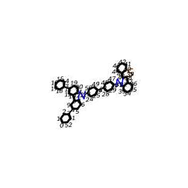 c1ccc(-c2ccc3c(c2)c2cc(-c4ccccc4)ccc2n3-c2ccc(-c3ccc(-n4c5ccccc5c5sc6ccccc6c54)cc3)cc2)cc1